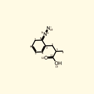 CC(CC1=CC=CCC1=[N+]=[N-])C(=O)O